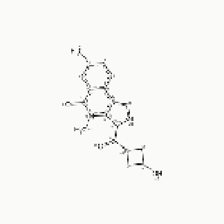 Cc1ccc2c(c1)c(=O)n(C)c1c(C(=O)N3CC(O)C3)ncn21